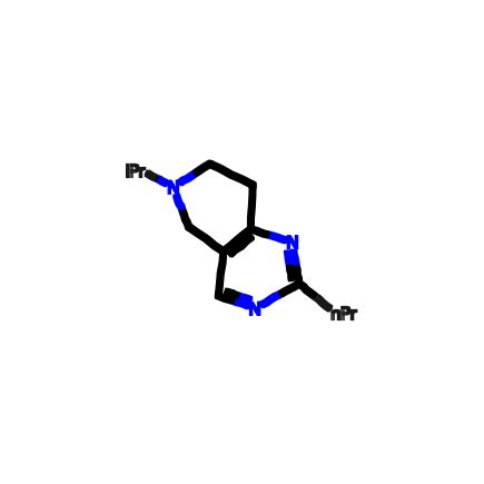 CCCc1ncc2c(n1)CCN(C(C)C)C2